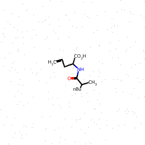 C=CCC(NC(=O)C(C)CCCC)C(=O)O